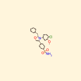 COc1cc(N2C(c3ccc(S(N)(=O)=O)cc3)=COC2Cc2ccccc2)ccc1Cl